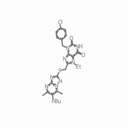 CCCCc1c(C)nc2nc(SCc3nc4c(c(=O)[nH]c(=O)n4Cc4ccc(Cl)cc4)n3CC)nn2c1C